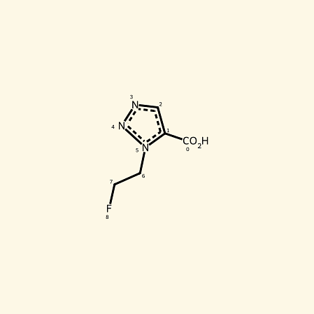 O=C(O)c1cnnn1CCF